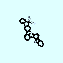 CC1(C)c2ccccc2-c2cc3c4cccc5c6c7oc8ccccc8c7ccc6n(c3cc21)c45